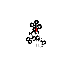 CN1CCCC1COc1nc2c(c(N3CCN(C(=O)C4=CC=CC=CN4C(c4ccccc4)(c4ccccc4)c4ccccc4)C(CC#N)C3)n1)CCN(c1cccc3cccc(Cl)c13)C2